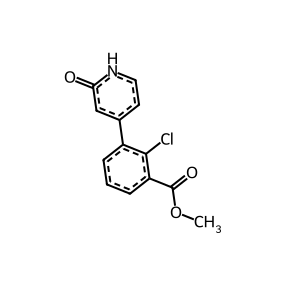 COC(=O)c1cccc(-c2cc[nH]c(=O)c2)c1Cl